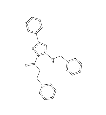 O=C(CCc1ccccc1)n1nc(-c2cccnc2)cc1NCc1ccccc1